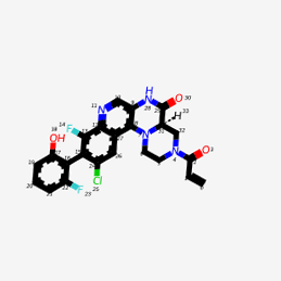 C=CC(=O)N1CCN2c3c(cnc4c(F)c(-c5c(O)cccc5F)c(Cl)cc34)NC(=O)[C@H]2C1